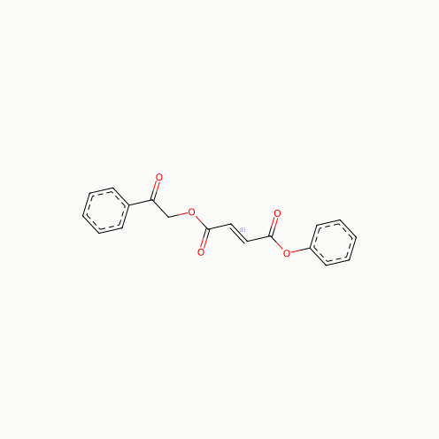 O=C(/C=C/C(=O)Oc1ccccc1)OCC(=O)c1ccccc1